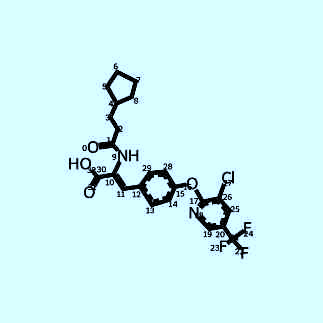 O=C(CCC1CCCC1)NC(=Cc1ccc(Oc2ncc(C(F)(F)F)cc2Cl)cc1)C(=O)O